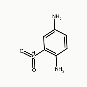 Nc1ccc(N)c([SH](=O)=O)c1